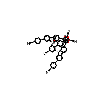 N#Cc1ccc(-c2ccc3c4ccc(-c5ccc(C#N)cc5)cc4n(-c4cc(C#N)cc(-n5c6cc(-c7ccc(C#N)cc7)ccc6c6ccc(-c7ccc(C#N)cc7)cc65)c4-c4ccc(C(F)(F)F)cc4C(F)(F)F)c3c2)cc1